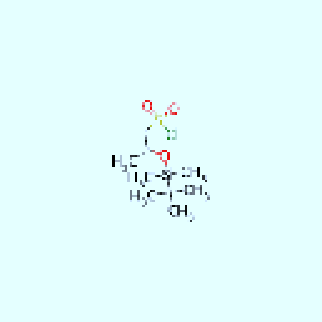 C[C@H](CS(=O)(=O)Cl)O[Si](C)(C)C(C)(C)C